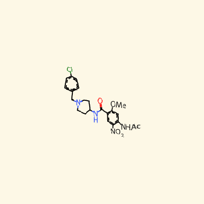 COc1cc(NC(C)=O)c([N+](=O)[O-])cc1C(=O)NC1CCN(Cc2ccc(Cl)cc2)CC1